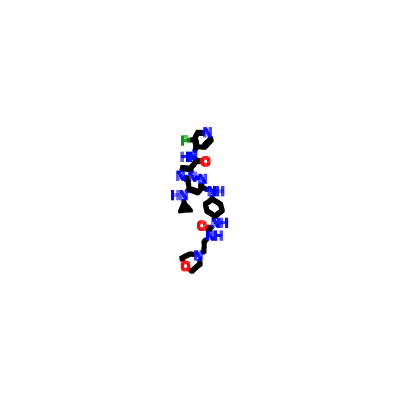 O=C(NCCN1CCOCC1)NC1CCC(Nc2cc(NC3CC3)c3ncc(C(=O)Nc4ccncc4F)n3n2)CC1